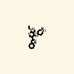 CCn1ncc2c(NC3CCS(=O)(=O)CC3)c(C3=NOC4(CCCCC4)C3)cnc21